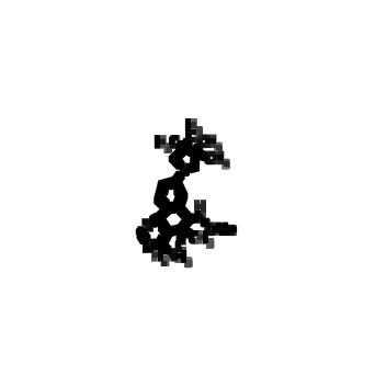 CONC1c2cc(B3CC(C)(C)C(C)(C)C3)ccc2-c2ncnc(N)c2C1(C)C